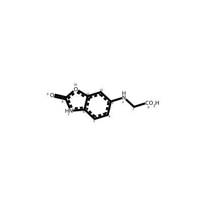 O=C(O)CNc1ccc2[nH]c(=O)oc2c1